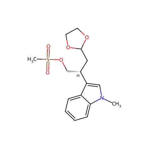 Cn1cc([C@H](COS(C)(=O)=O)CC2OCCO2)c2ccccc21